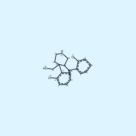 O=C(c1ccccc1Cl)C1CNCCC1(CO)c1ccccc1Cl